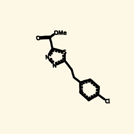 COC(=O)c1nnc(CCc2ccc(Cl)cc2)s1